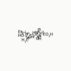 CCC(O)CN(CCCCC1NC(=O)C(CC(=O)O)NC1=O)CC(C)O